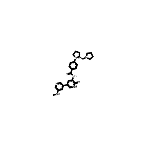 CNc1cncc(-c2c[nH]c(=O)c(NC(=O)c3ccc(N4CCC[C@H]4CN4CCCC4)cc3)c2)c1